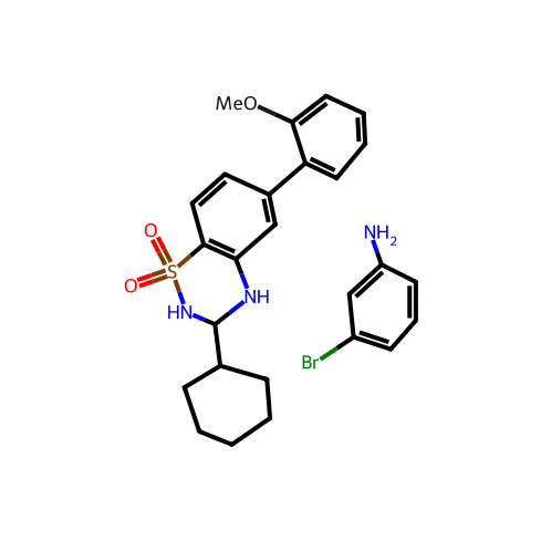 COc1ccccc1-c1ccc2c(c1)NC(C1CCCCC1)NS2(=O)=O.Nc1cccc(Br)c1